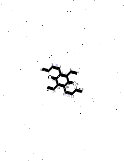 C=C/C=C\C1=C(C=C)C(=O)C(/C=C\C=C)=C(C=C)C1=O